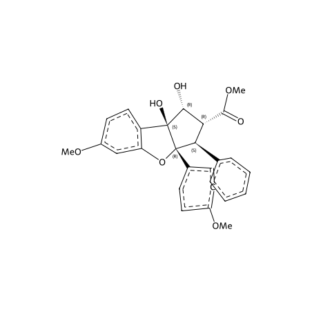 COC(=O)[C@H]1[C@@H](O)[C@@]2(O)c3ccc(OC)cc3O[C@@]2(c2ccc(OC)cc2)[C@@H]1c1ccccc1